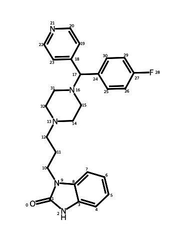 O=c1[nH]c2ccccc2n1CCCN1CCN(C(c2ccncc2)c2ccc(F)cc2)CC1